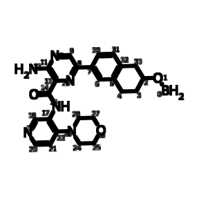 BOC1CCc2cc(-c3cnc(N)c(C(=O)Nc4cnccc4N4CCOCC4)n3)ccc2C1